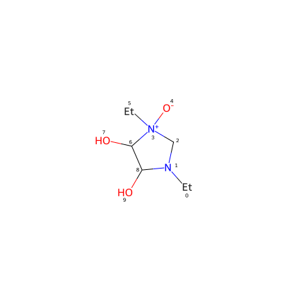 CCN1C[N+]([O-])(CC)C(O)C1O